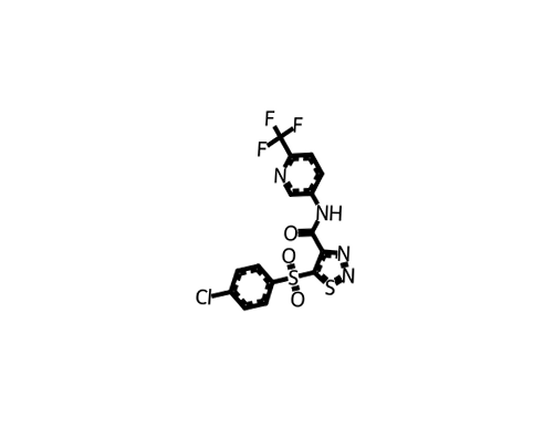 O=C(Nc1ccc(C(F)(F)F)nc1)c1nnsc1S(=O)(=O)c1ccc(Cl)cc1